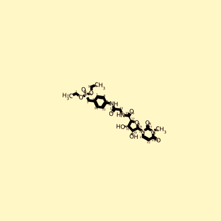 CCOP(=O)(Cc1ccc(NC(=O)CNC(=O)[C@H]2OC(n3ccc(=O)n(C)c3=O)[C@H](O)[C@@H]2O)cc1)OCC